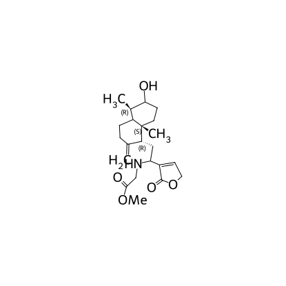 C=C1CCC2[C@@H](C)C(O)CC[C@]2(C)[C@@H]1CC(NCC(=O)OC)C1=CCOC1=O